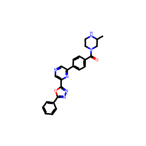 CC1CN(C(=O)c2ccc(-c3cncc(-c4nnc(-c5ccccc5)o4)n3)cc2)CCN1